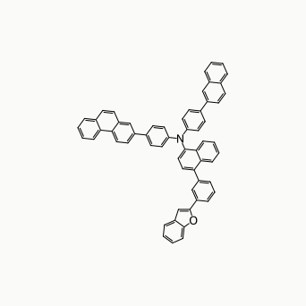 c1cc(-c2cc3ccccc3o2)cc(-c2ccc(N(c3ccc(-c4ccc5ccccc5c4)cc3)c3ccc(-c4ccc5c(ccc6ccccc65)c4)cc3)c3ccccc23)c1